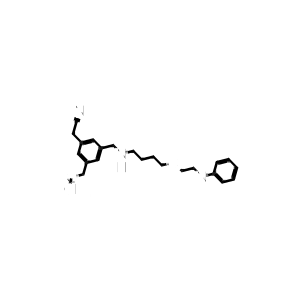 COCc1cc(CC#N)cc(CNCCCCOCCNc2ccccc2)c1